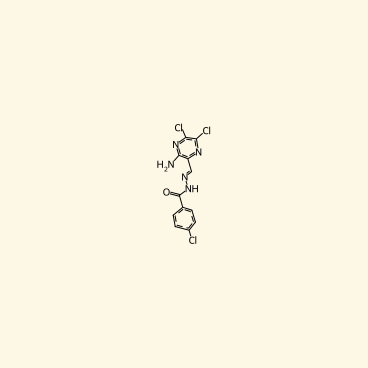 Nc1nc(Cl)c(Cl)nc1C=NNC(=O)c1ccc(Cl)cc1